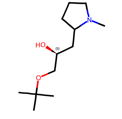 CN1CCCC1C[C@H](O)COC(C)(C)C